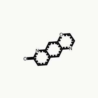 O=c1ccc2cc3nccoc3cc2n1